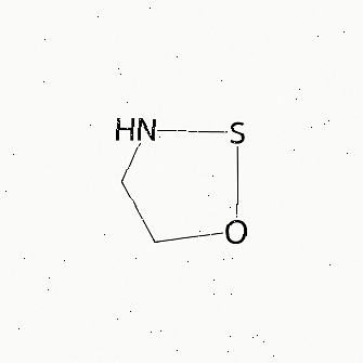 C1COSN1